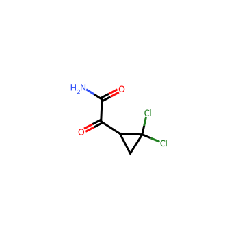 NC(=O)C(=O)C1CC1(Cl)Cl